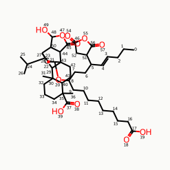 CCC/C=C/C(CCC(CCCCCCCCC(=O)O)OC1CC(C(C)C)C2CC3C4(C)CCCC(C)(C(=O)O)C4CCC13C1C(=O)OC(O)C21)C1CC(=O)OC1=O